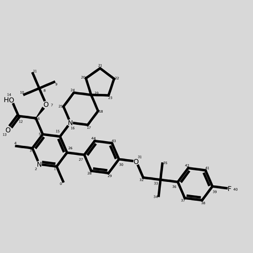 Cc1nc(C)c([C@H](OC(C)(C)C)C(=O)O)c(N2CCC3(CCCC3)CC2)c1-c1ccc(OCC(C)(C)c2ccc(F)cc2)cc1